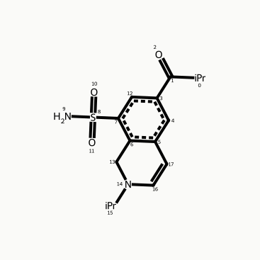 CC(C)C(=O)c1cc2c(c(S(N)(=O)=O)c1)CN(C(C)C)C=C2